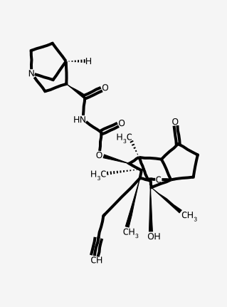 C#CC[C@]1(C)C[C@@H](OC(=O)NC(=O)[C@H]2CN3CC[C@@H]2C3)[C@@]2(C)C3C(=O)CCC3(CC[C@H]2C)[C@@H](C)[C@@H]1O